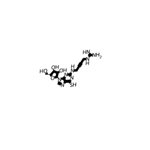 N=C(N)NCC#CCNc1nc(S)c2ncn([C@@H]3O[C@H](CO)[C@H](O)C3O)c2n1